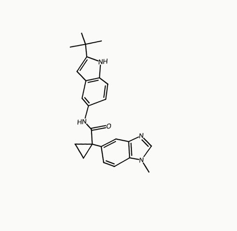 Cn1cnc2cc(C3(C(=O)Nc4ccc5[nH]c(C(C)(C)C)cc5c4)CC3)ccc21